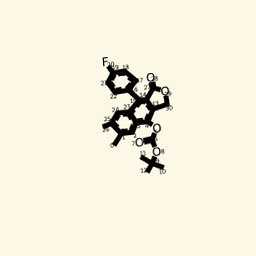 Cc1cc2c(OC(=O)OC(C)(C)C)c3c(c(-c4ccc(F)cc4)c2cc1C)C(=O)OC3